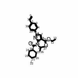 C=Cc1ccc(-n2cc(C(=O)OCC)c(N(C(=O)[C@H]3CC[C@H](C)CC3)C(C)C)n2)cc1